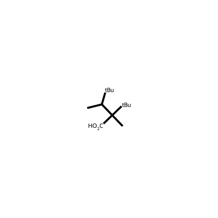 CC(C(C)(C)C)C(C)(C(=O)O)C(C)(C)C